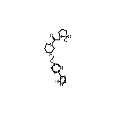 O=C(CN1CCCS1(=O)=O)N1CCC[C@@H](COc2ccc(-c3ccn[nH]3)nc2)C1